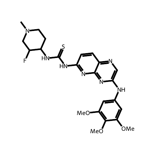 COc1cc(Nc2cnc3ccc(NC(=S)NC4CCN(C)CC4F)nc3n2)cc(OC)c1OC